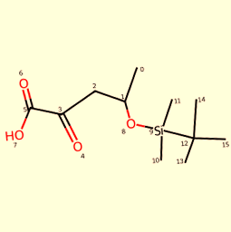 CC(CC(=O)C(=O)O)O[Si](C)(C)C(C)(C)C